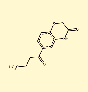 O=C(O)CCC(=O)c1ccc2c(c1)NC(=O)CS2